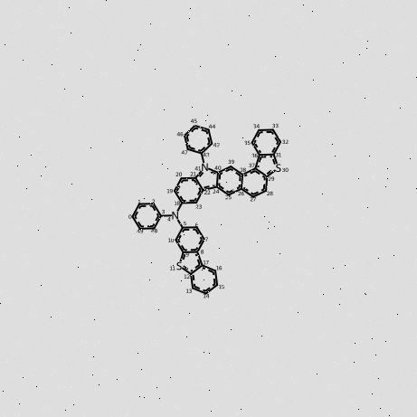 c1ccc(N(c2ccc3c(c2)sc2ccccc23)c2ccc3c(c2)c2cc4ccc5sc6ccccc6c5c4cc2n3-c2ccccc2)cc1